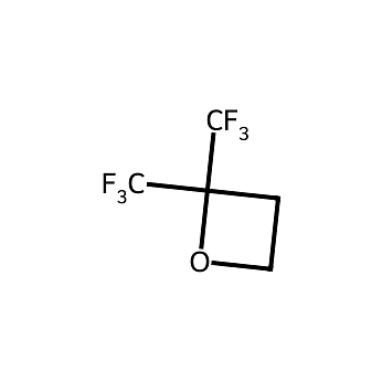 FC(F)(F)C1(C(F)(F)F)CCO1